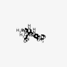 Cc1cc2nc(C3=C(N[C@@H](C)c4cocn4)c4nn(C)cc4NC3)[nH]c2cc1N1CCOCC1